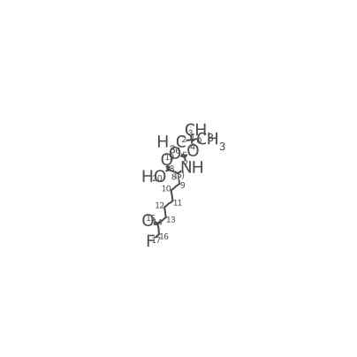 CC(C)(C)OC(=O)N[C@@H](CCCCCC(=O)CF)C(=O)O